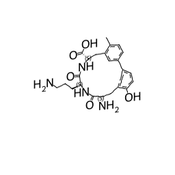 Cc1ccc2cc1C[C@@H](C(=O)O)NC(=O)[C@H](CCCN)NC(=O)[C@@H](N)Cc1cc-2ccc1O